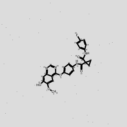 COc1cc2c(Oc3ccc(NC(=O)C4(C(=O)Nc5ccc(F)cc5)CC4)cc3)ncnc2cc1O